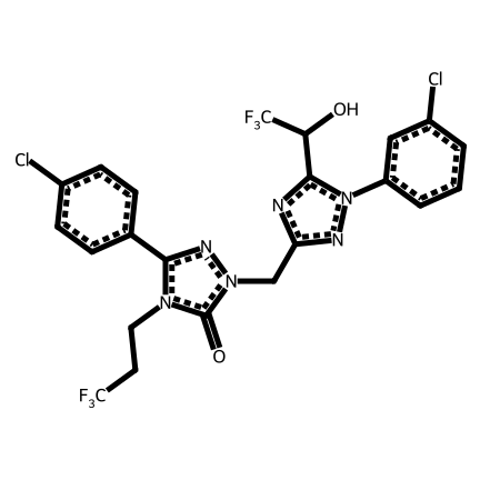 O=c1n(Cc2nc(C(O)C(F)(F)F)n(-c3cccc(Cl)c3)n2)nc(-c2ccc(Cl)cc2)n1CCC(F)(F)F